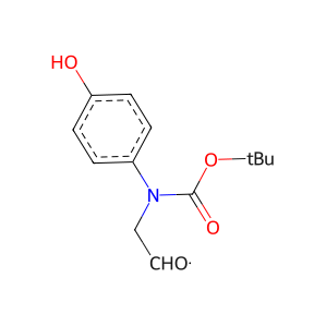 CC(C)(C)OC(=O)N(C[C]=O)c1ccc(O)cc1